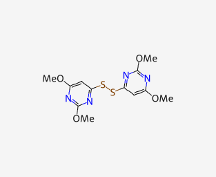 COc1cc(SSc2cc(OC)nc(OC)n2)nc(OC)n1